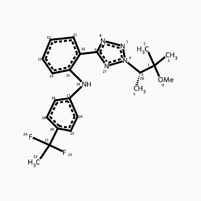 COC(C)(C)[C@H](C)n1nnc(-c2ccccc2Nc2ccc(C(C)(F)F)cc2)n1